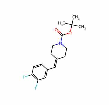 CC(C)(C)OC(=O)N1CCC(=Cc2ccc(F)c(F)c2)CC1